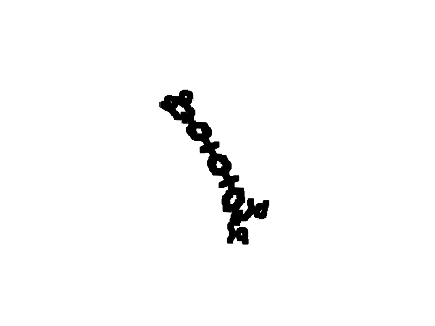 COC(C)CN(CC(C)OC)c1ccc(C(C)(C)c2ccc(C(C)(C)c3ccc(N(CC4CO4)CC4CO4)cc3)cc2)cc1